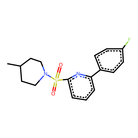 CC1CCN(S(=O)(=O)c2cccc(-c3ccc(F)cc3)n2)CC1